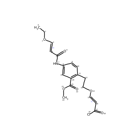 CCO/C=C/C(=O)Nc1ccc(CCO/C=C/C(=O)Cl)c(C(=O)OC)c1